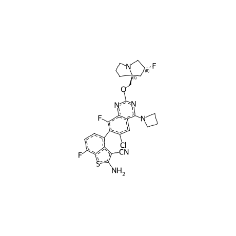 N#Cc1c(N)sc2c(F)ccc(-c3c(Cl)cc4c(N5CCC5)nc(OC[C@@]56CCCN5C[C@H](F)C6)nc4c3F)c12